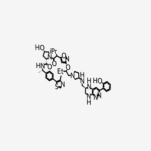 CCC(CN1CCC(NC[C@@H]2CNc3nnc(-c4ccccc4O)cc3N2)C1)Oc1cc(C(C(=O)N2C[C@H](O)C[C@H]2C(=O)N[C@@H](C)c2ccc(-c3scnc3C)cc2)C(C)C)on1